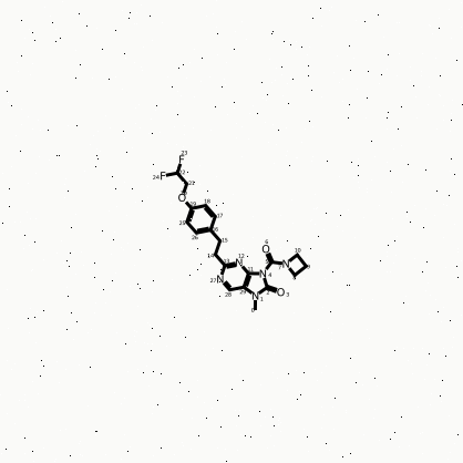 Cn1c(=O)n(C(=O)N2CCC2)c2nc(CCc3ccc(OCC(F)F)cc3)ncc21